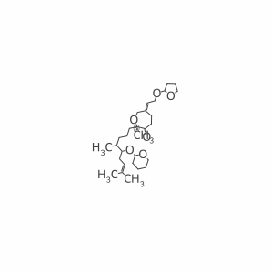 CC(C)=CCC(OC1CCCCO1)C(C)CCC[C@]1(C)OCC(=CCOC2CCCO2)CCC1=O